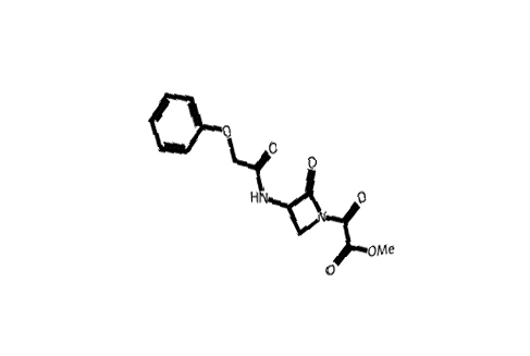 COC(=O)C(=O)N1CC(NC(=O)COc2ccccc2)C1=O